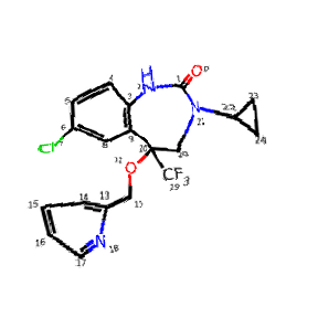 O=C1Nc2ccc(Cl)cc2C(OCc2ccccn2)(C(F)(F)F)CN1C1CC1